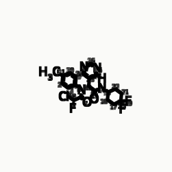 Cc1ccc(N(C(=O)[C@H](F)Cl)[C@@H](C(=O)NC2CCC(F)(F)CC2)c2cncnc2)cc1